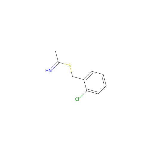 CC(=N)SCc1ccccc1Cl